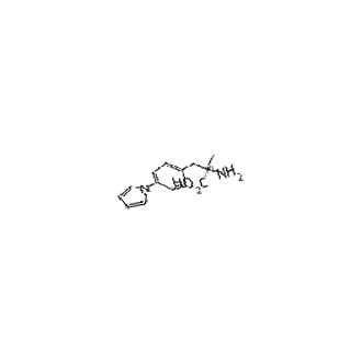 C[C@@](N)(Cc1ccc(-n2cccc2)cc1)C(=O)O